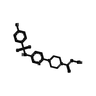 CC(C)(C)OC(=O)N1CCN(c2ccc(NS(=O)(=O)c3ccc(Cl)cc3)cn2)CC1